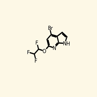 FC(F)C(F)Oc1cc(Br)c2cc[nH]c2n1